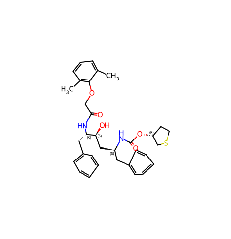 Cc1cccc(C)c1OCC(=O)N[C@@H](Cc1ccccc1)[C@@H](O)C[C@H](Cc1ccccc1)NC(=O)O[C@@H]1CCSC1